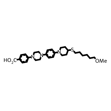 COCCCCCCSC1CCN(c2ccc(N3CCN(c4ccc(C(=O)O)cc4)CC3)cc2)CC1